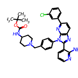 CC(C)(C)OC(=O)NC1CCN(Cc2ccc(-n3c(-c4cccnc4N)nc4ccc(-c5cccc(Cl)c5)nc43)cc2)CC1